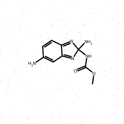 COC(=O)NC1(N)N=c2ccc(N)cc2=N1